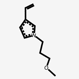 C=Cc1ccn(CCCOC)c1